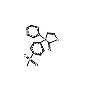 CS(=O)(=O)c1ccc([Si]2(c3ccccc3)C=COC2=O)cc1